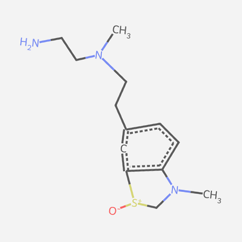 CN(CCN)CCc1ccc2c(c1)[S+]([O-])CN2C